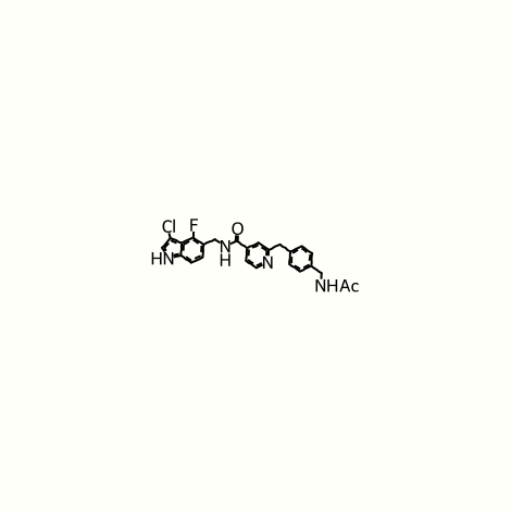 CC(=O)NCc1ccc(Cc2cc(C(=O)NCc3ccc4[nH]cc(Cl)c4c3F)ccn2)cc1